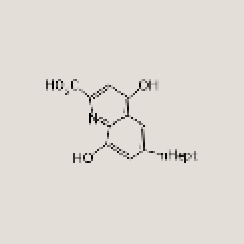 CCCCCCCc1cc(O)c2nc(C(=O)O)cc(O)c2c1